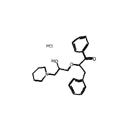 Cl.O=C(c1ccccc1)C(Cc1ccccc1)OCC(O)CN1CCCCC1